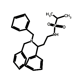 CC(C)S(=O)(=O)NCCC(c1ccccc1)N(Cc1ccccc1)Cc1ccccc1